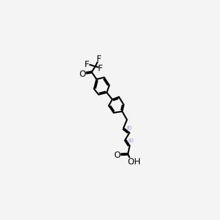 O=C(O)/C=C/C=C/Cc1ccc(-c2ccc(C(=O)C(F)(F)F)cc2)cc1